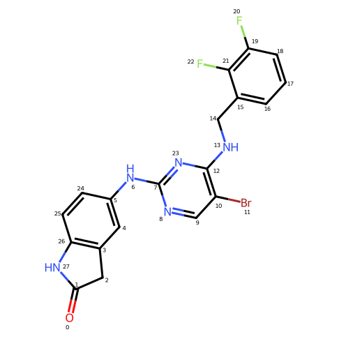 O=C1Cc2cc(Nc3ncc(Br)c(NCc4cccc(F)c4F)n3)ccc2N1